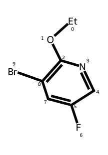 CCOc1ncc(F)cc1Br